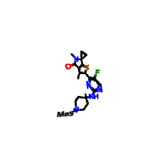 CSN1CCC(C)(Nc2ncc(F)c(-c3sc4c(c3C)C(=O)N(C)C43CC3)n2)CC1